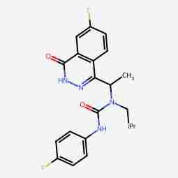 CC(C)CN(C(=O)Nc1ccc(F)cc1)C(C)c1n[nH]c(=O)c2cc(F)ccc12